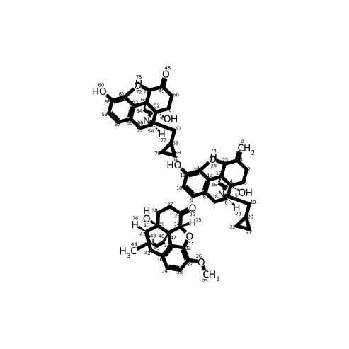 C=C1CC[C@@]2(O)[C@H]3Cc4ccc(O)c5c4[C@@]2(CCN3CC2CC2)[C@H]1O5.COc1ccc2c3c1O[C@H]1C(=O)CC[C@@]4(O)[C@@H](C2)N(C)CC[C@]314.O=C1CC[C@@]2(O)[C@H]3Cc4ccc(O)c5c4[C@@]2(CCN3CC2CC2)[C@H]1O5